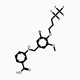 COc1cc(CNc2cccc(C(=O)O)c2)cc(Br)c1OCCCC(F)(F)C(F)(F)F